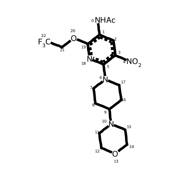 CC(=O)Nc1cc([N+](=O)[O-])c(N2CCC(N3CCOCC3)CC2)nc1OCC(F)(F)F